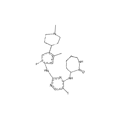 Cc1cc(Nc2ncc(I)c(NC3CCCCNC3=O)n2)c(F)cc1C1CCN(C)CC1